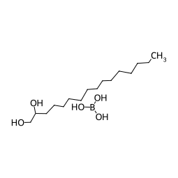 CCCCCCCCCCCCCCC(O)CO.OB(O)O